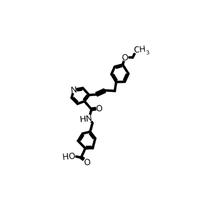 CCOc1ccc(CC#Cc2cnccc2C(=O)NCc2ccc(C(=O)O)cc2)cc1